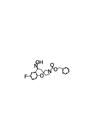 O=C(OCc1ccccc1)N1CCC2(CC(=NO)c3cc(F)ccc3O2)C1